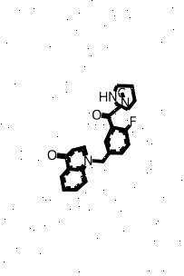 O=C(c1cc(Cn2ccc(=O)c3ccccc32)ccc1F)N1CC2CCC1CN2